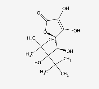 CC(C)(C)C(O)([C@H](O)[C@H]1OC(=O)C(O)=C1O)C(C)(C)C